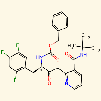 CC(C)(C)NC(=O)c1cccnc1CC(=O)[C@@H](Cc1cc(F)c(F)cc1F)NC(=O)OCc1ccccc1